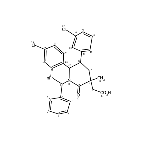 CCCC(c1ccccn1)N1C(=O)C(C)(CC(=O)O)CC(c2cccc(Cl)c2)C1c1ccc(Cl)cc1